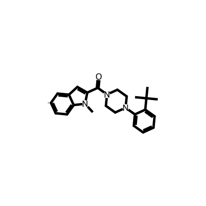 Cn1c(C(=O)N2CCN(c3ccccc3C(C)(C)C)CC2)cc2c[c]ccc21